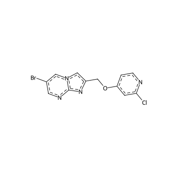 Clc1cc(OCc2cn3cc(Br)cnc3n2)ccn1